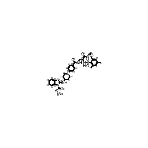 Cc1cc(C)c(S(=O)(=O)N[C@@H](CNC(=O)c2ccc(N3CCC(Nc4nc5ccccc5n4C(=O)OC(C)(C)C)CC3)cc2)C(=O)OC(C)(C)C)c(C)c1